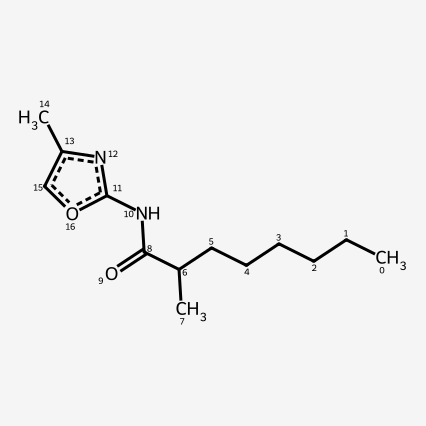 CCCCCCC(C)C(=O)Nc1nc(C)co1